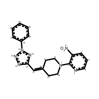 O=[N+]([O-])c1cccnc1N1CCC(=Cc2nnn(-c3ccccc3)n2)CC1